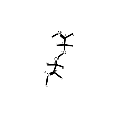 CN=C(C)C(C)(C)OOC(C)(C)C(C)=NC